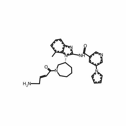 Cc1cccc2nc(NC(=O)c3cncc(-n4cccc4)c3)n([C@@H]3CCCCN(C(=O)/C=C/CN)C3)c12